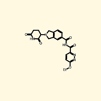 CCOc1ccc(C(=O)NC(=O)c2ccc3c(c2)CN(C2CCC(=O)NC2=O)C3)nn1